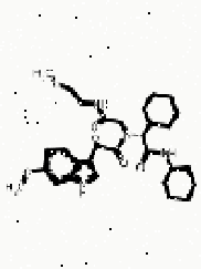 COCCNC(=O)CN(C(=O)C(=O)c1c[nH]c2cc(OC)ccc12)[C@@H](C(=O)NC1CCCCC1)C1CCCCC1